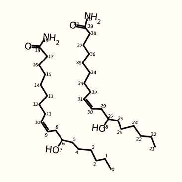 CCCCCCC(O)C/C=C\CCCCCCCC(N)=O.CCCCCCC(O)C/C=C\CCCCCCCC(N)=O